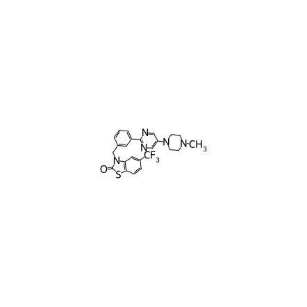 CN1CCN(c2cnc(-c3cccc(Cn4c(=O)sc5ccc(C(F)(F)F)cc54)c3)nc2)CC1